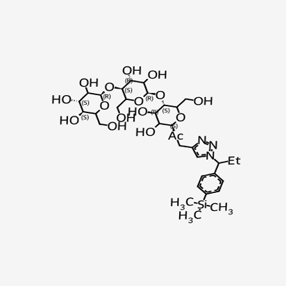 CCC(c1ccc([Si](C)(C)C)cc1)n1cc([CH2][Ac][C@@H]2OC(CO)[C@@H](O[C@H]3OC(CO)[C@@H](O[C@H]4OC(CO)[C@@H](O)[C@H](O)C4O)[C@H](O)C3O)[C@H](O)C2O)nn1